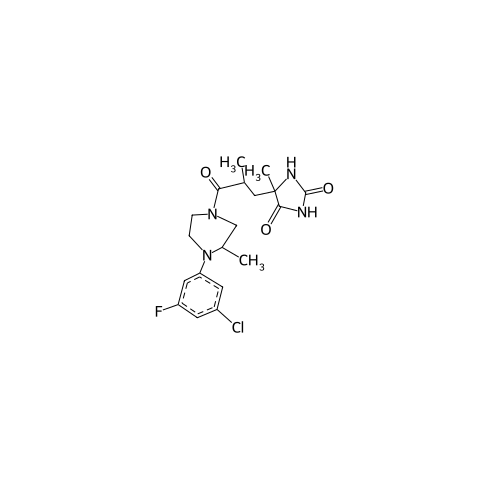 CC(CC1(C)NC(=O)NC1=O)C(=O)N1CCN(c2cc(F)cc(Cl)c2)C(C)C1